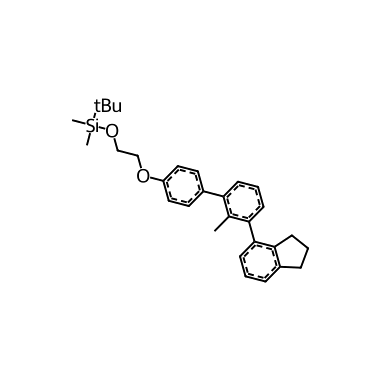 Cc1c(-c2ccc(OCCO[Si](C)(C)C(C)(C)C)cc2)cccc1-c1cccc2c1CCC2